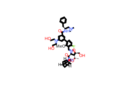 COc1c(-c2cc(C(=O)N[C@@H](Cc3ccccc3)CN(C)C)cc(N(CCO)CCO)c2)ccc(F)c1CN1O[C@@H](CO)[C@H]([C@H](C)O)[C@H]1C(=O)N[C@H]1C[C@H]2C[C@@H]([C@@H]1C)C2(C)C